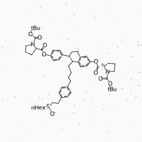 CCCCCC[S+]([O-])CCc1ccc(CCCCC2c3ccc(OC(=O)[C@@H]4CCCN4C(=O)OC(C)(C)C)cc3CCC2c2ccc(OC(=O)C3CCCN3C(=O)OC(C)(C)C)cc2)cc1